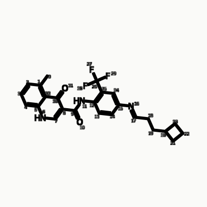 Cc1cccc2[nH]cc(C(=O)Nc3ccc(/N=C/CCC4CCC4)cc3C(F)(F)F)c(=O)c12